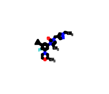 CCn1cc(Cn2cc(C)n(-c3cc(C4CC4)c(F)c(N4CCO[C@H](C)C4)c3)c2=O)cn1